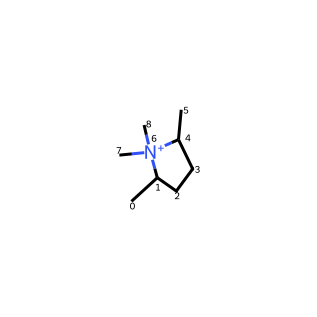 CC1CCC(C)[N+]1(C)C